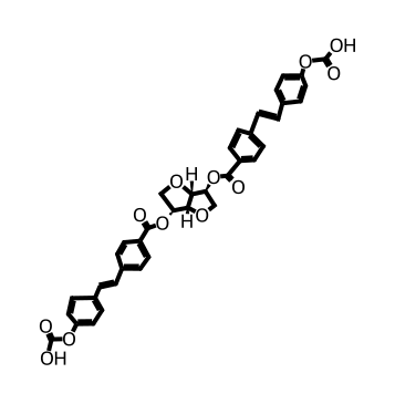 O=C(O)Oc1ccc(/C=C/c2ccc(C(=O)O[C@H]3CO[C@H]4[C@@H]3OC[C@H]4OC(=O)c3ccc(/C=C/c4ccc(OC(=O)O)cc4)cc3)cc2)cc1